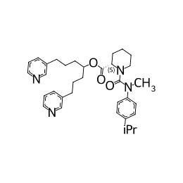 CC(C)c1ccc(N(C)C(=O)N2CCCC[C@H]2C(=O)OC(CCCc2cccnc2)CCCc2cccnc2)cc1